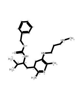 CNCCCNC1=C(C)N=C(N)C(CC(NC(=O)OCc2ccccc2)C(C)C)C1